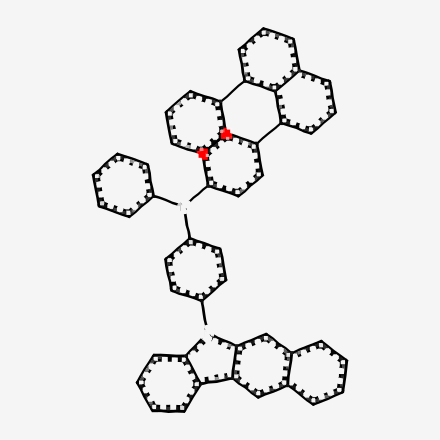 c1ccc(-c2cccc3cccc(-c4ccc(N(c5ccccc5)c5ccc(-n6c7ccccc7c7cc8ccccc8cc76)cc5)cc4)c23)cc1